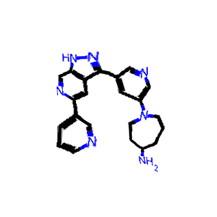 NC1CCCN(c2cncc(-c3n[nH]c4cnc(-c5cccnc5)cc34)c2)CC1